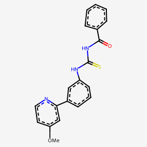 COc1ccnc(-c2cccc(NC(=S)NC(=O)c3ccccc3)c2)c1